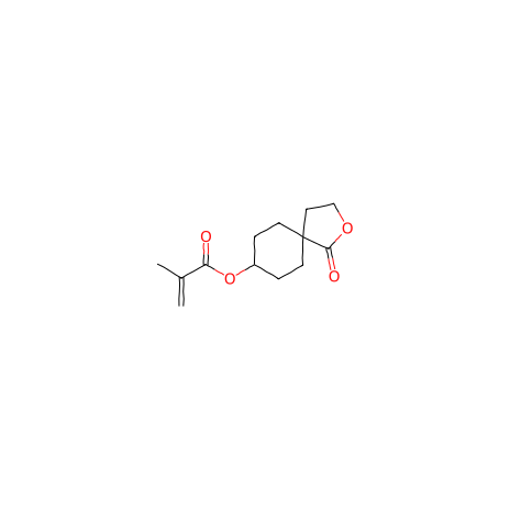 C=C(C)C(=O)OC1CCC2(CCOC2=O)CC1